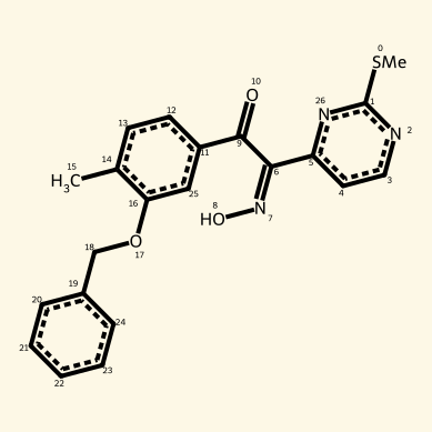 CSc1nccc(C(=NO)C(=O)c2ccc(C)c(OCc3ccccc3)c2)n1